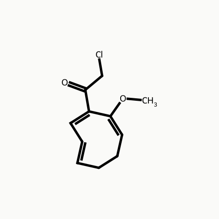 COC1=C/CC/C=C/C=C\1C(=O)CCl